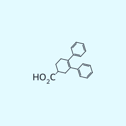 O=C(O)C1CCC(c2ccccc2)=C(c2ccccc2)C1